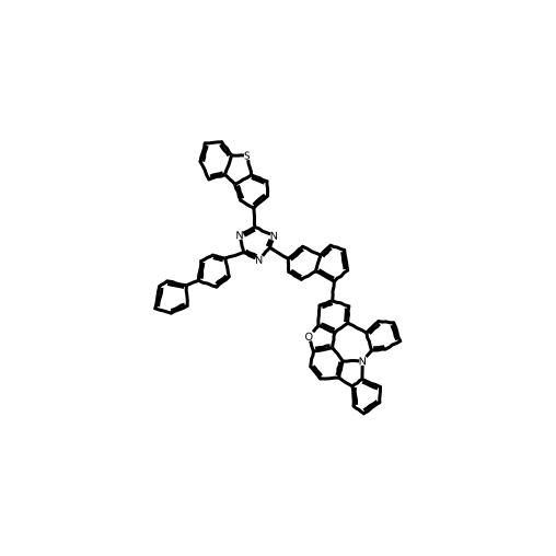 c1ccc(-c2ccc(-c3nc(-c4ccc5c(-c6cc7oc8ccc9c%10ccccc%10n%10c%11ccccc%11c(c6)c7c8c9%10)cccc5c4)nc(-c4ccc5sc6ccccc6c5c4)n3)cc2)cc1